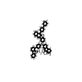 CC1(C)c2ccccc2-c2ccc(N(c3ccc(-c4cccc5c4oc4ccccc45)cc3)c3ccc4oc5c(-c6ccc(-c7ccccc7)cc6)c6ccccc6cc5c4c3)cc21